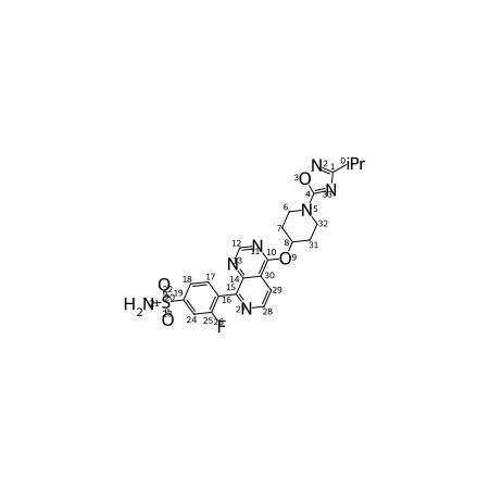 CC(C)c1noc(N2CCC(Oc3ncnc4c(-c5ccc(S(N)(=O)=O)cc5F)nccc34)CC2)n1